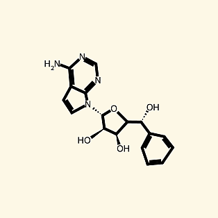 Nc1ncnc2c1ccn2[C@@H]1OC([C@H](O)c2ccccc2)[C@@H](O)[C@H]1O